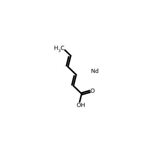 C/C=C/C=C/C(=O)O.[Nd]